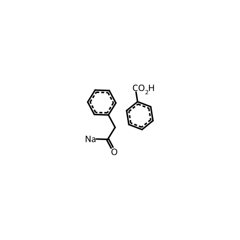 O=C(O)c1ccccc1.O=[C]([Na])Cc1ccccc1